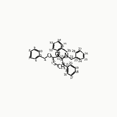 CSC(OCc1ccccc1)C(=O)[C@H](Cc1ccccc1)N(Cc1ccccc1)Cc1ccccc1